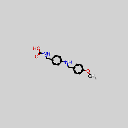 COc1ccc(CNc2ccc(CNC(=O)O)cc2)cc1